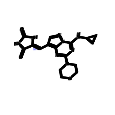 O=C1NC(=O)/C(=C/c2cnn3c(NC4CC4)nc(N4CCOCC4)nc23)N1